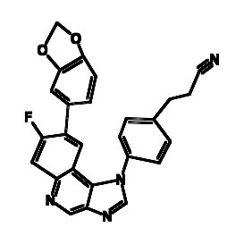 N#CCCc1ccc(-n2cnc3cnc4cc(F)c(-c5ccc6c(c5)OCO6)cc4c32)cc1